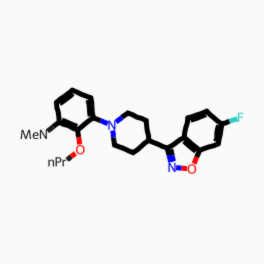 CCCOc1c(NC)cccc1N1CCC(c2noc3cc(F)ccc23)CC1